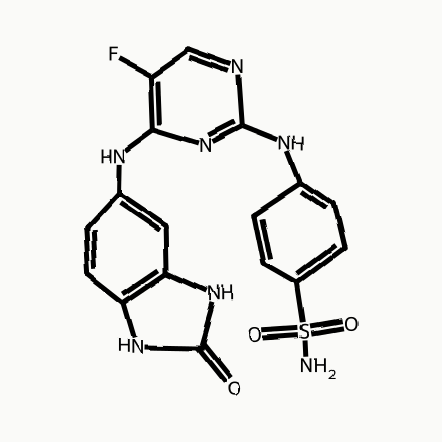 NS(=O)(=O)c1ccc(Nc2ncc(F)c(Nc3ccc4[nH]c(=O)[nH]c4c3)n2)cc1